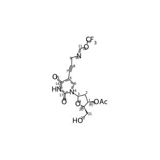 CC(=O)O[C@@H]1CC(n2cc(C#CCN=COC(F)(F)F)c(=O)[nH]c2=O)O[C@@H]1CO